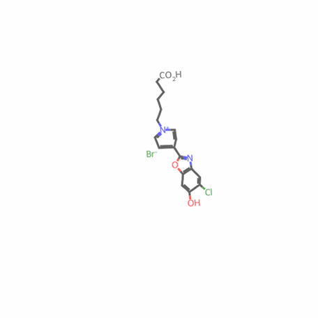 O=C(O)CCCCC[n+]1ccc(-c2nc3cc(Cl)c(O)cc3o2)cc1.[Br-]